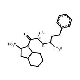 C[C@H](NC(CCc1ccccc1)C(=O)O)C(=O)N1C(C(=O)O)CC2CCCCC21